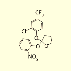 O=[N+]([O-])c1ccccc1OC1(Oc2ccc(C(F)(F)F)cc2Cl)CCCO1